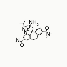 CC(C)c1nnc(C2(CCN)c3ccc(C(=O)N(C)C)cc3CCc3cc(C(=O)N(C)C)ccc32)o1